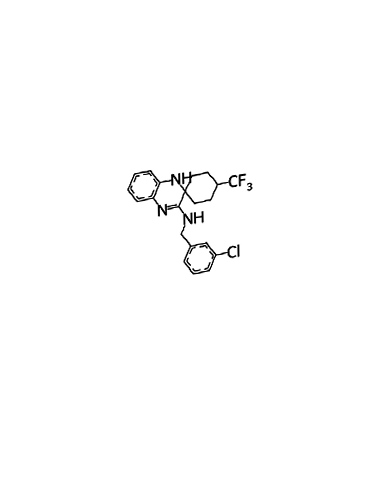 FC(F)(F)C1CCC2(CC1)Nc1ccccc1N=C2NCc1cccc(Cl)c1